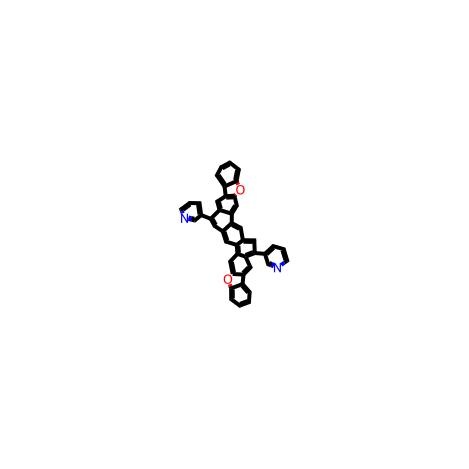 c1cncc(-c2cc3cc4c(cc(-c5cccnc5)c5cc6c(cc54)oc4ccccc46)cc3c3cc4oc5ccccc5c4cc23)c1